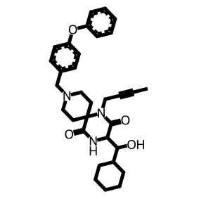 CC#CCN1C(=O)C(C(O)C2CCCCC2)NC(=O)C12CCN(Cc1ccc(Oc3ccccc3)cc1)CC2